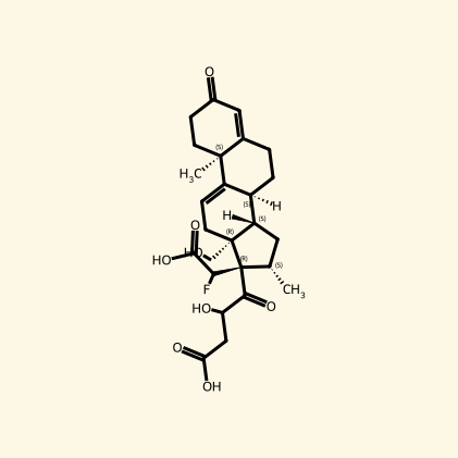 C[C@H]1C[C@H]2[C@@H]3CCC4=CC(=O)CC[C@]4(C)C3=CC[C@]2(CO)[C@]1(C(=O)C(O)CC(=O)O)C(F)C(=O)O